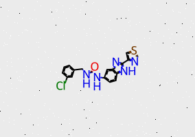 O=C(NCc1cccc(Cl)c1)Nc1ccc2[nH]c(-c3cscn3)nc2c1